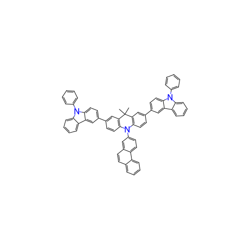 CC1(C)c2cc(-c3ccc4c(c3)c3ccccc3n4-c3ccccc3)ccc2N(c2ccc3c(ccc4ccccc43)c2)c2ccc(-c3ccc4c(c3)c3ccccc3n4-c3ccccc3)cc21